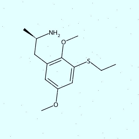 CCSc1cc(OC)cc(C[C@@H](C)N)c1OC